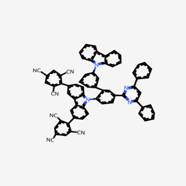 N#Cc1cc(C#N)c(-c2ccc3c(c2)c2cc(-c4c(C#N)cc(C#N)cc4C#N)ccc2n3-c2ccc(-c3nc(-c4ccccc4)cc(-c4ccccc4)n3)cc2-c2cccc(-n3c4ccccc4c4ccccc43)c2)c(C#N)c1